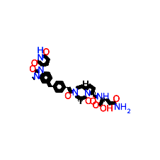 C[C@H]1CN(C(=O)C[C@H]2CC[C@H](Cc3ccc4c(c3)n(C)c(=O)n4C3CCC(=O)NC3=O)CC2)CC[C@H]2CC[C@@H](C(=O)N[C@@H](CCC(N)=O)C(=O)O)N2C1=O